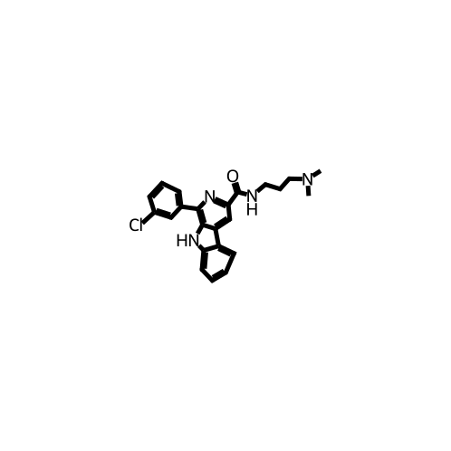 CN(C)CCCNC(=O)c1cc2c([nH]c3ccccc32)c(-c2cccc(Cl)c2)n1